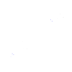 Cl.NC(=O)c1ccc(OCCCN2CCC3CC32)cc1